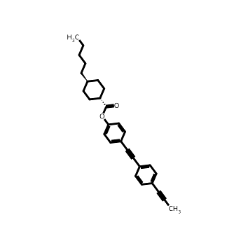 CC#Cc1ccc(C#Cc2ccc(OC(=O)[C@H]3CC[C@H](CCCCC)CC3)cc2)cc1